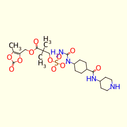 Cc1oc(=O)oc1COC(=O)C(C)(C)COS(=O)(=O)ON(C(N)=O)C1CCC(C(=O)NC2CCNCC2)CC1